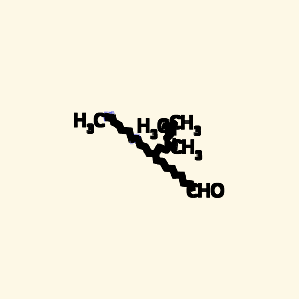 C/C=C\CCCC/C=C/CCCC(CCCCCCCCC=O)CCN(C)CCN(C)C